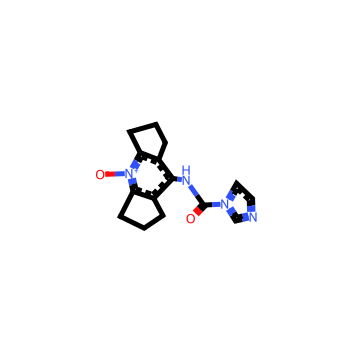 O=C(Nc1c2c([n+]([O-])c3c1CCC3)CCC2)n1ccnc1